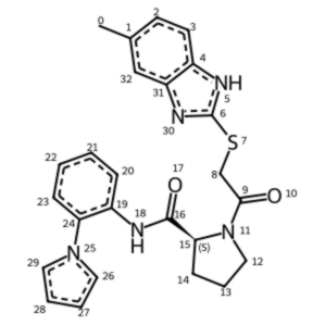 Cc1ccc2[nH]c(SCC(=O)N3CCC[C@H]3C(=O)Nc3ccccc3-n3cccc3)nc2c1